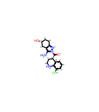 Nc1c2c(nn1C(=O)[C@@H]1CCNc3c(Cl)cccc31)CC[C@@H](O)C2